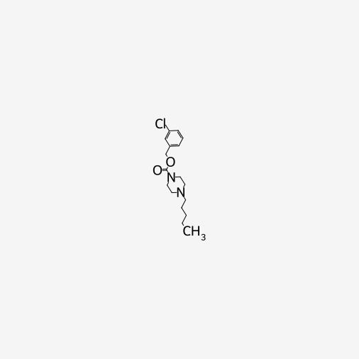 CCCCCN1CCN(C(=O)OCc2cccc(Cl)c2)CC1